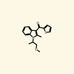 COCC(C)n1c(C)c(C(=O)c2cccs2)c2ccccc21